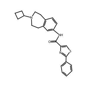 O=C(Nc1ccc2c(c1)CCN(C1CCC1)CC2)c1csc(-c2ccccc2)n1